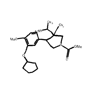 COC(=O)N1CC(c2ccc(OC)c(OC3CCCC3)c2)C(C)(C(C)NC(C)=O)C1